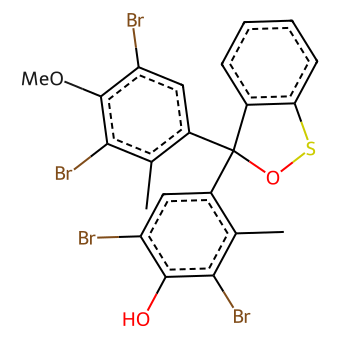 COc1c(Br)cc(C2(c3cc(Br)c(O)c(Br)c3C)OSc3ccccc32)c(C)c1Br